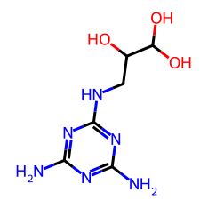 Nc1nc(N)nc(NCC(O)C(O)O)n1